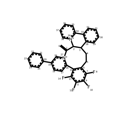 C=C1C2C(CCc3c(F)c(F)c(F)c(F)c3-c3ccc(-c4ccccc4)c[n+]31)c1ccccc1-c1cccc[n+]12